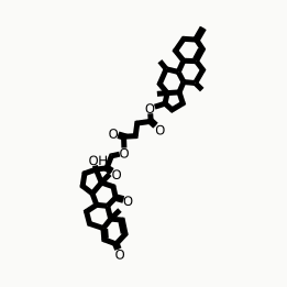 C=C1C=C2CC(C)C3C(C(C)CC4(C)C(OC(=O)CCC(=O)OCC(=O)C5(O)CCC6C7CCC8=CC(=O)C=CC8(C)C7C(=O)CC65C)CCC34)C2CC1